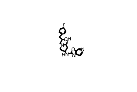 OC(Cc1ccc(F)cc1)CN1CCC(Nc2nc3ccncc3o2)CC1I